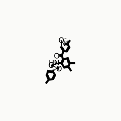 Cc1ccc(S(=O)(=O)Nc2cc(C)c(C)cc2C(=O)c2ccc(C)[n+]([O-])c2)cc1